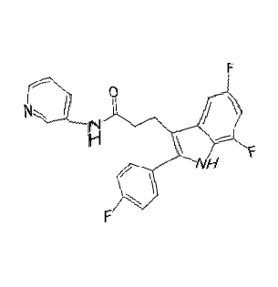 O=C(CCc1c(-c2ccc(F)cc2)[nH]c2c(F)cc(F)cc12)Nc1cccnc1